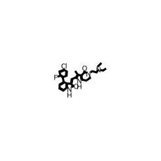 CCN(CC)CCN1CCc2[nH]c(C=C3C(=O)Nc4cccc(-c5ccc(Cl)cc5F)c43)c(C)c2C1=O